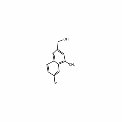 Cc1cc(CO)nc2ccc(Br)cc12